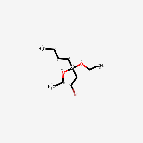 CCCC[Si](CCBr)(OCC)OCC